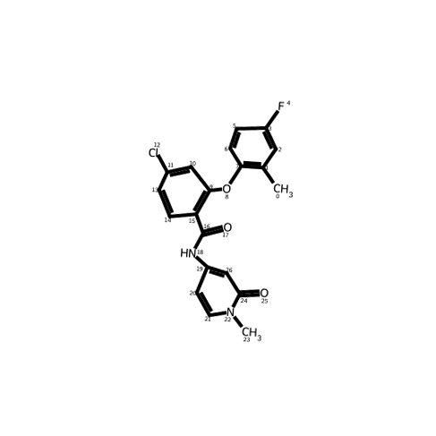 Cc1cc(F)ccc1Oc1cc(Cl)ccc1C(=O)Nc1ccn(C)c(=O)c1